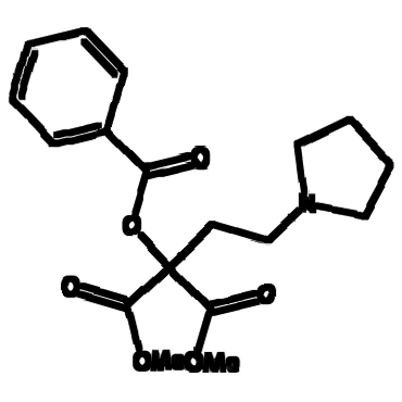 COC(=O)C(CCN1CCCC1)(OC(=O)c1ccccc1)C(=O)OC